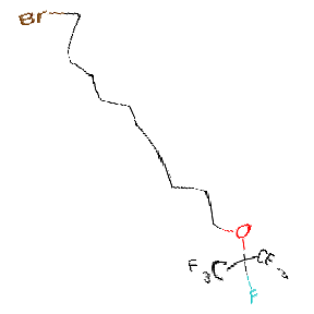 FC(F)(F)C(F)(OCCCCCCCCCCBr)C(F)(F)F